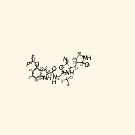 CC(C)C[C@H](NC(=O)c1cc2c(OC(F)F)cccc2[nH]1)C(=O)N[C@H](C#N)CC1CCNC1=O